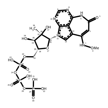 CONC1=CC(=O)Nc2ncnc3c2c1cn3[C@@H]1O[C@H](COP(=O)(O)OP(=O)(O)OP(=O)(O)O)[C@@H](O)[C@@]1(C)O